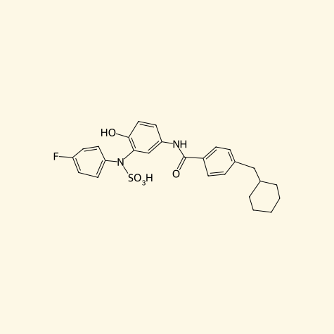 O=C(Nc1ccc(O)c(N(c2ccc(F)cc2)S(=O)(=O)O)c1)c1ccc(CC2CCCCC2)cc1